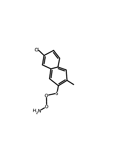 Cc1cc2ccc(Cl)cc2cc1SOON